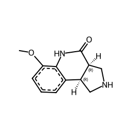 COc1cccc2c1NC(=O)[C@H]1CNC[C@@H]21